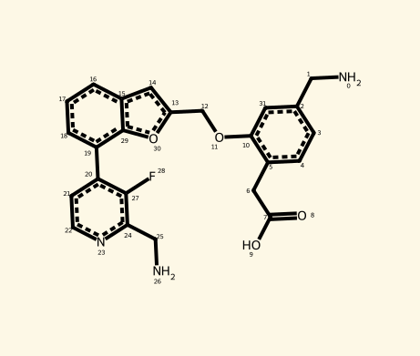 NCc1ccc(CC(=O)O)c(OCc2cc3cccc(-c4ccnc(CN)c4F)c3o2)c1